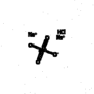 Cl.[Na+].[Na+].[O]=[Mn](=[O])([O-])[O-]